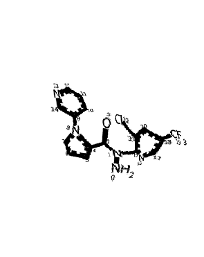 NN(C(=O)c1cccn1-c1cccnc1)c1ncc(C(F)(F)F)cc1Cl